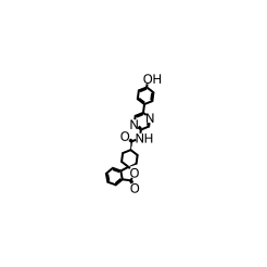 O=C1O[C@]2(CC[C@H](C(=O)Nc3cnc(-c4ccc(O)cc4)cn3)CC2)c2ccccc21